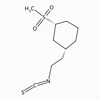 CS(=O)(=O)[C@@H]1CCC[C@H](CCN=C=S)C1